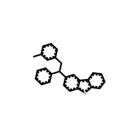 Cc1cccc(CC(c2ccccc2)c2ccc3sc4ccccc4c3c2)c1